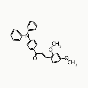 COc1ccc(/C=C/C(=O)c2ccc(N(c3ccccc3)c3ccccc3)cc2)c(OC)c1